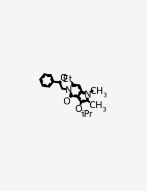 CCc1cc2c(c(OC(C)C)c(C)n2C)c(=O)n1CC(=O)c1ccccc1